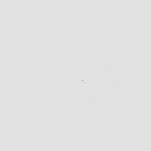 Cc1cc(-c2ccccc2)n(C)c1C(=O)O